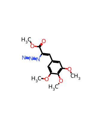 COC(=O)/C(=C/c1cc(OC)c(OC)c(OC)c1)N=[N+]=[N-]